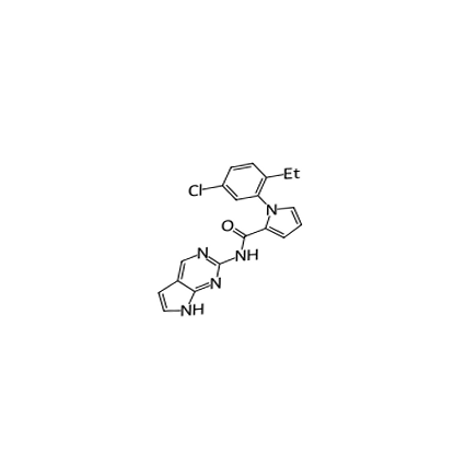 CCc1ccc(Cl)cc1-n1cccc1C(=O)Nc1ncc2cc[nH]c2n1